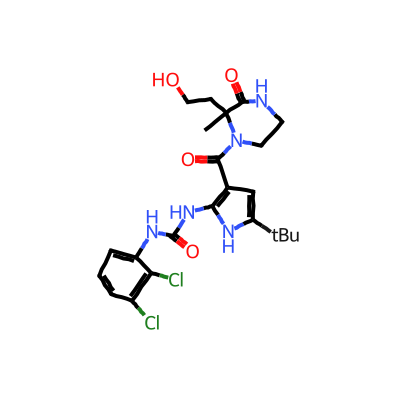 CC(C)(C)c1cc(C(=O)N2CCNC(=O)C2(C)CCO)c(NC(=O)Nc2cccc(Cl)c2Cl)[nH]1